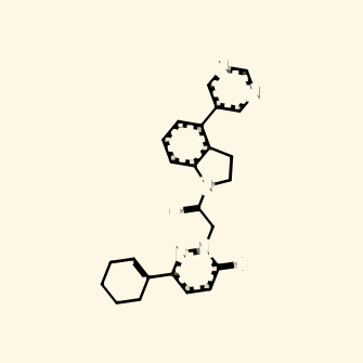 O=C(Cn1nc(C2=CCCCC2)ccc1=O)N1CCc2c(-c3cncnc3)cccc21